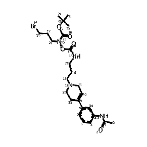 CC(=O)Nc1cccc(C2=CCN(CCCNC(=O)ON(CCCBr)C(=O)OC(C)(C)C)CC2)c1